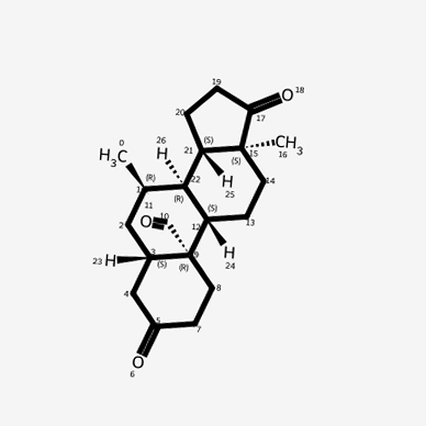 C[C@@H]1C[C@H]2CC(=O)CC[C@]2(C=O)[C@H]2CC[C@]3(C)C(=O)CC[C@H]3[C@H]12